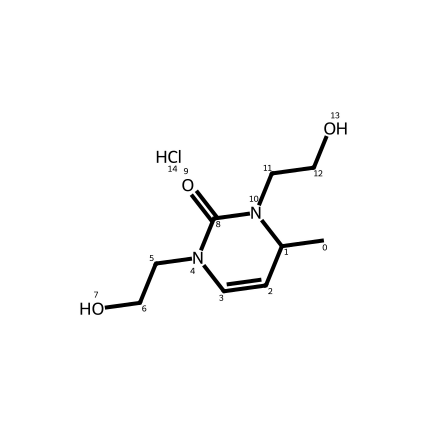 CC1C=CN(CCO)C(=O)N1CCO.Cl